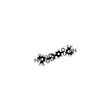 CC1(C)CC(OC(=O)c2ccc(C3COC(C(=O)OC4CC(C)(C)NC(C)(C)C4)OC3)cc2)CC(C)(C)N1